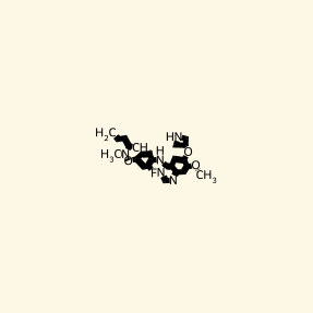 C=C/C=C(/C)N(C)Oc1ccc(Nc2ncnc3cc(OC)c(OC4CNC4)cc23)c(F)c1